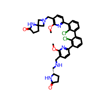 COc1nc(-c2cccc(-c3cccc(-c4ccc(CN5CC6(CCC(=O)N6)C5)c(OC)n4)c3Cl)c2Cl)ccc1CNC[C@@H]1CCC(=O)N1